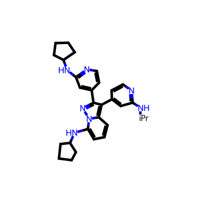 CC(C)Nc1cc(-c2c(-c3ccnc(NC4CCCC4)c3)nn3c(NC4CCCC4)cccc23)ccn1